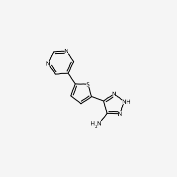 Nc1n[nH]nc1-c1ccc(-c2cncnc2)s1